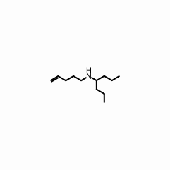 C=CCCCNC(CCC)CCC